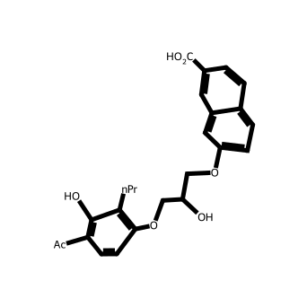 CCCc1c(OCC(O)COc2ccc3ccc(C(=O)O)cc3c2)ccc(C(C)=O)c1O